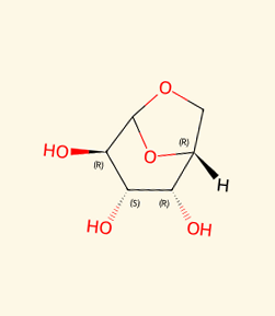 O[C@@H]1[C@H](O)[C@@H](O)C2OC[C@H]1O2